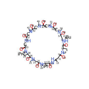 CC[C@H](C)C1NC(=O)C(C)N(C)C(=O)CC(C)NC(=O)C(C(C)C)N(C)C(=O)CN(C)C(=O)C(CC(C)C)N(C)C(=O)CNC(=O)CN(C)C(=O)CN(C)C(=O)CN(C)C(=O)CN(C)C1=O